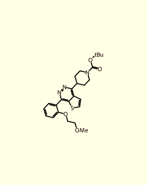 COCCOc1ccccc1-c1nnc(C2CCN(C(=O)OC(C)(C)C)CC2)c2ccsc12